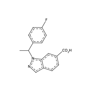 CC(c1ccc(F)cc1)n1ncc2ccc(C(=O)O)cc21